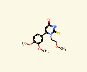 COCCn1c(-c2ccc(OC)c(OC)c2)cc(=O)[nH]c1=S